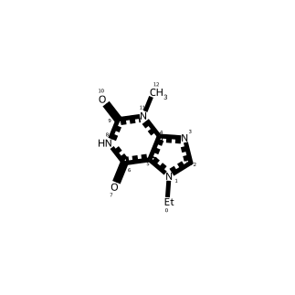 CCn1cnc2c1c(=O)[nH]c(=O)n2C